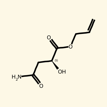 C=CCOC(=O)[C@@H](O)CC(N)=O